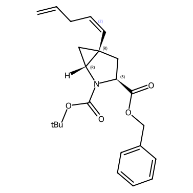 C=CC/C=C\[C@@]12C[C@@H](C(=O)OCc3ccccc3)N(C(=O)OC(C)(C)C)[C@@H]1C2